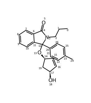 CCCN1C(=O)c2ccccc2C1(O[C@H]1C=C[C@@H](O)C1)c1ccc(C)cc1